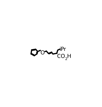 CC(C)C[C@H](C/C=C/COCc1ccccc1)C(=O)O